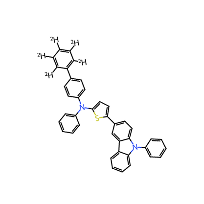 [2H]c1c([2H])c([2H])c(-c2ccc(N(c3ccccc3)c3ccc(-c4ccc5c(c4)c4ccccc4n5-c4ccccc4)s3)cc2)c([2H])c1[2H]